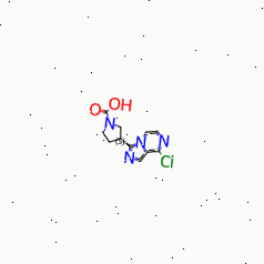 O=C(O)N1CC[C@H](c2ncc3c(Cl)nccn23)C1